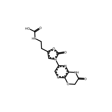 O=C(O)NCCc1cn(-c2cnc3c(n2)NC(=O)CO3)c(=O)o1